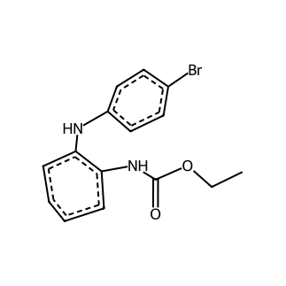 CCOC(=O)Nc1ccccc1Nc1ccc(Br)cc1